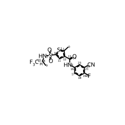 Cc1sc(S(=O)(=O)N[C@H](C)C(F)(F)F)cc1C(=O)Nc1ccc(F)c(C#N)c1